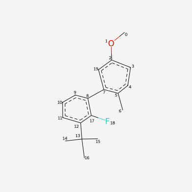 COc1ccc(C)c(-c2cccc(C(C)(C)C)c2F)c1